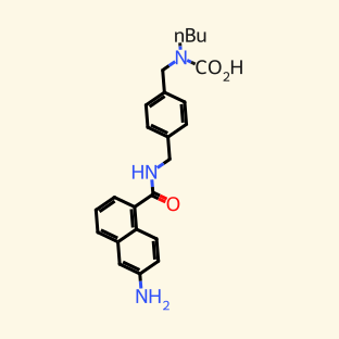 CCCCN(Cc1ccc(CNC(=O)c2cccc3cc(N)ccc23)cc1)C(=O)O